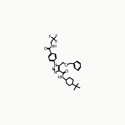 CC(C)(C)C1CCC(NC(=O)c2nnn(-c3ccc(C(=O)NCC(F)(F)F)cc3)c2COCc2ccccc2)CC1